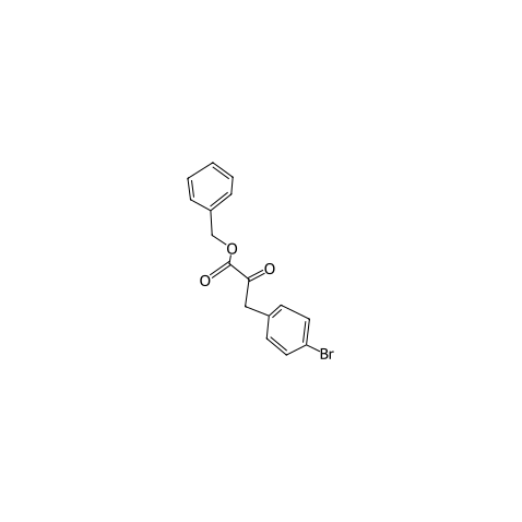 O=C(Cc1ccc(Br)cc1)C(=O)OCc1ccccc1